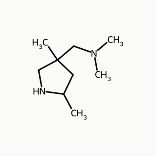 CC1CC(C)(CN(C)C)CN1